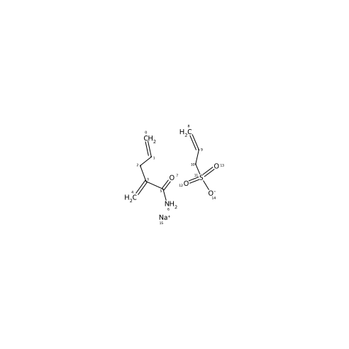 C=CCC(=C)C(N)=O.C=CCS(=O)(=O)[O-].[Na+]